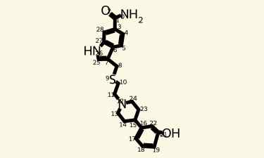 NC(=O)c1ccc2c(CSCCN3CCC(c4cccc(O)c4)CC3)c[nH]c2c1